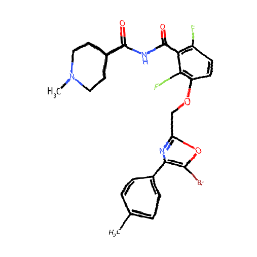 Cc1ccc(-c2nc(COc3ccc(F)c(C(=O)NC(=O)C4CCN(C)CC4)c3F)oc2Br)cc1